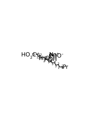 CC(C)CCCCCCCCCCCCCCC(=O)O.CC(O)C(=O)[O-].[Na+]